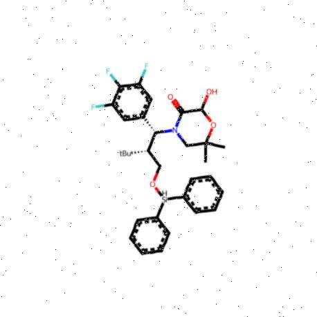 CC1(C)CN([C@@H](c2cc(F)c(F)c(F)c2)[C@H](CO[SiH](c2ccccc2)c2ccccc2)C(C)(C)C)C(=O)C(O)O1